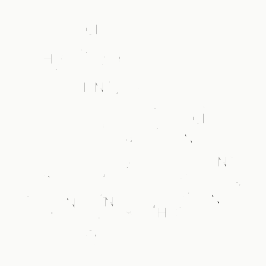 C=C(C)C(=O)Nc1ccc(-c2c(C3CCN(C(=O)N4CCCC4)CC3)c3c(C)ncnc3n2C)cc1